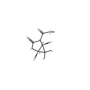 COC(=O)C1C(=O)C[C@@H]2[C@H]1C2(C)C